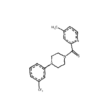 Cc1ccnc(C(=S)N2CCN(c3cccc(C(F)(F)F)c3)CC2)c1